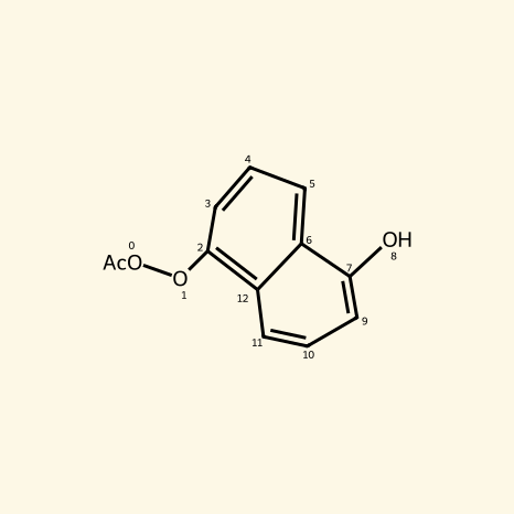 CC(=O)OOc1cccc2c(O)cccc12